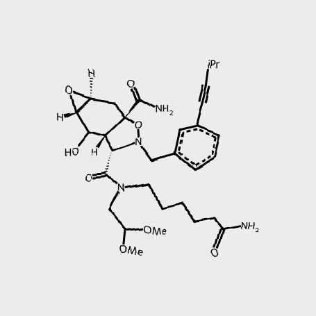 COC(CN(CCCCCC(N)=O)C(=O)[C@@H]1[C@@H]2C(O)[C@@H]3O[C@H]3C[C@]2(C(N)=O)ON1Cc1cccc(C#CC(C)C)c1)OC